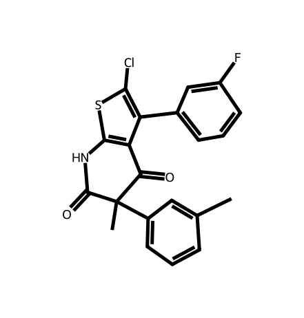 Cc1cccc(C2(C)C(=O)Nc3sc(Cl)c(-c4cccc(F)c4)c3C2=O)c1